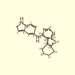 C1=CN2NCC=C2C=C1Nc1ncnc2sc3c(c12)CCCC3